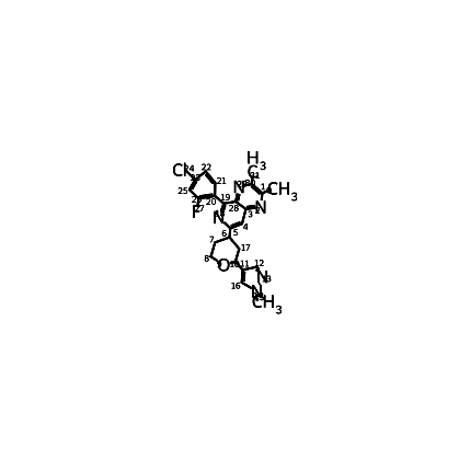 Cc1nc2cc(C3CCOC(c4cnn(C)c4)C3)nc(-c3ccc(Cl)cc3F)c2nc1C